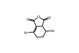 CC(=O)C1=C2C(=O)OC(=O)C2C(C(C)=O)CC1